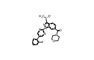 C[S+]([O-])c1nn(-c2ncc(-c3ccccc3F)cn2)c2cc(C(=O)N3CCOCC3)ccc12